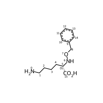 NCCCC[C@H](NOCc1ccccc1)C(=O)O